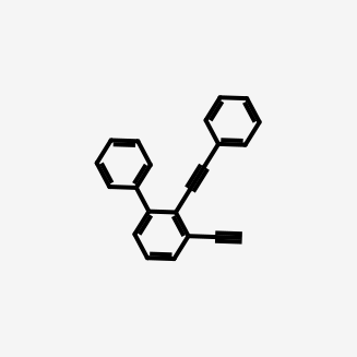 C#Cc1cccc(-c2ccccc2)c1C#Cc1ccccc1